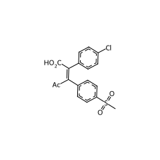 CC(=O)C(=C(C(=O)O)c1ccc(Cl)cc1)c1ccc(S(C)(=O)=O)cc1